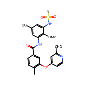 COc1c(NC(=O)c2ccc(C)c(Oc3ccnc(C=O)c3)c2)cc(C(C)(C)C)cc1NS(C)(=O)=O